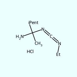 CCCC(C)C(C)(N)N=C=NCC.Cl